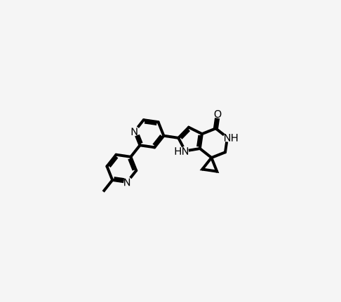 Cc1ccc(-c2cc(-c3cc4c([nH]3)C3(CC3)CNC4=O)ccn2)cn1